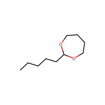 CCCCCC1OCCCCO1